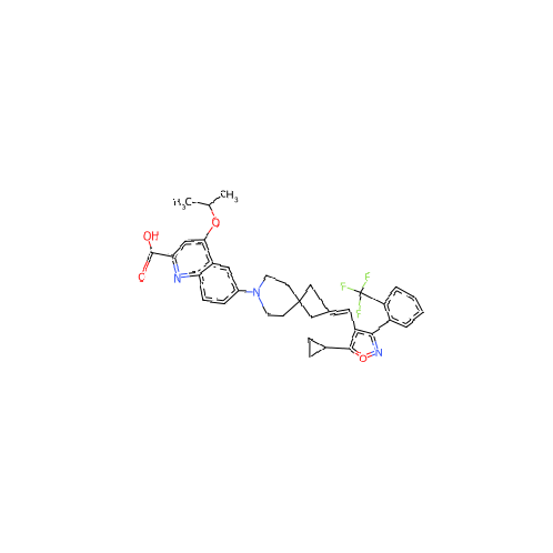 CC(C)Oc1cc(C(=O)O)nc2ccc(N3CCC4(CC3)CC(=Cc3c(-c5ccccc5C(F)(F)F)noc3C3CC3)C4)cc12